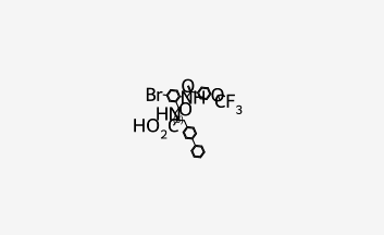 O=C(Nc1ccc(Br)cc1C(=O)N[C@@H](Cc1ccc(-c2ccccc2)cc1)C(=O)O)c1ccc(OC(F)(F)F)cc1